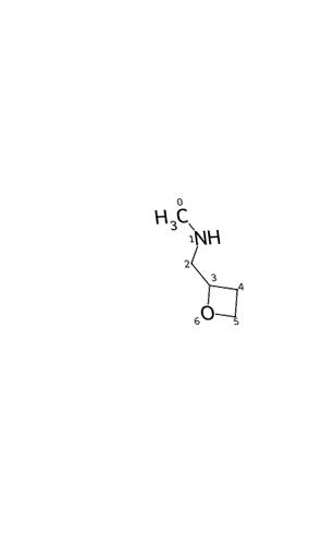 CNCC1CCO1